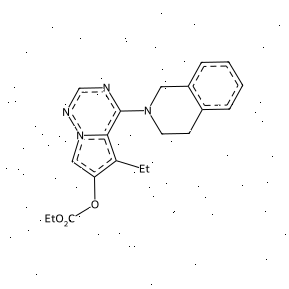 CCOC(=O)Oc1cn2ncnc(N3CCc4ccccc4C3)c2c1CC